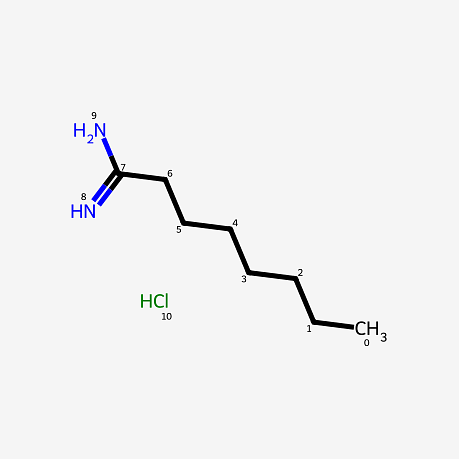 CCCCCCCC(=N)N.Cl